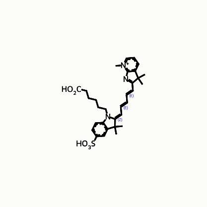 C[n+]1cccc2c1N=C(/C=C/C=C/C=C1\N(CCCCCC(=O)O)c3ccc(S(=O)(=O)O)cc3C1(C)C)C2(C)C